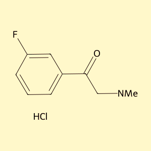 CNCC(=O)c1cccc(F)c1.Cl